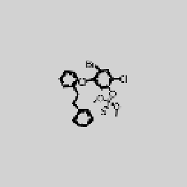 COP(=S)(OC)Oc1cc(Cl)c(Br)cc1Cl.c1ccc(CCc2ccccc2)cc1